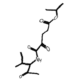 CC(=O)C(NC(=O)C(=O)CCC(=O)OC(C)C)C(C)C